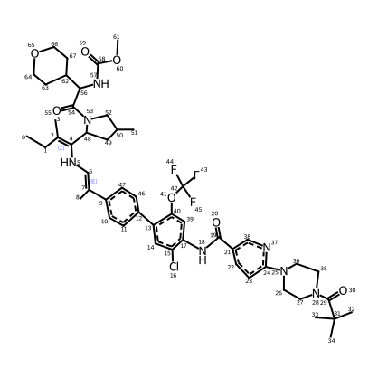 CC/C(C)=C(\N/C=C(\C)c1ccc(-c2cc(Cl)c(NC(=O)c3ccc(N4CCN(C(=O)C(C)(C)C)CC4)nc3)cc2OC(F)(F)F)cc1)C1CC(C)CN1C(=O)C(NC(=O)OC)C1CCOCC1